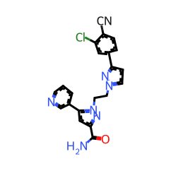 N#Cc1ccc(-c2ccn(CCn3nc(C(N)=O)cc3-c3cccnc3)n2)cc1Cl